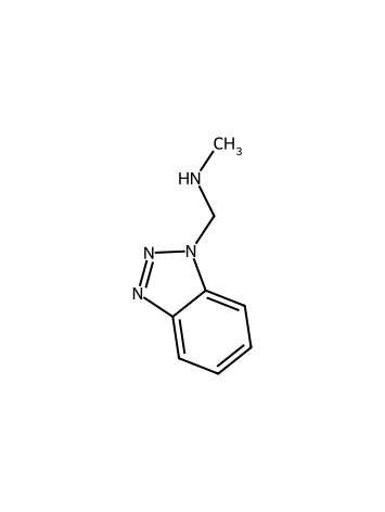 CNCn1nnc2ccccc21